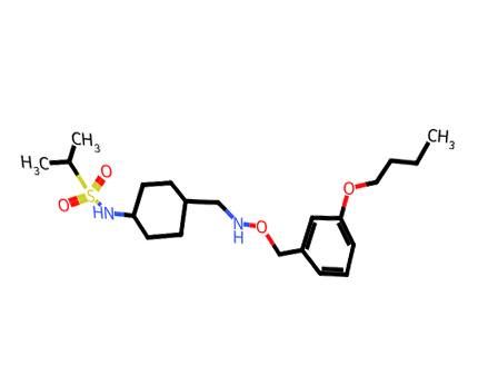 CCCCOc1cccc(CONCC2CCC(NS(=O)(=O)C(C)C)CC2)c1